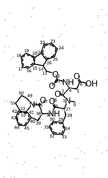 CN(C(=O)[C@H](CC(=O)O)NC(=O)OCC1c2ccccc2-c2ccccc21)[C@@H](Cc1ccccc1)C(=O)N[C@@H](Cc1ccccc1)C(=O)N1CCCCC1